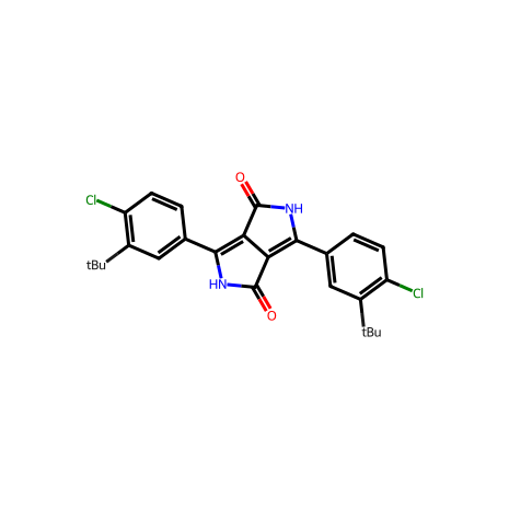 CC(C)(C)c1cc(C2=C3C(=O)NC(c4ccc(Cl)c(C(C)(C)C)c4)=C3C(=O)N2)ccc1Cl